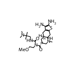 COCCN(C(=O)NCC(C)(C)N(C)C)C(=O)[C@@H]1C[C@@H]2Cc3c(sc(N)c3N)C[C@H]2N(C)C1